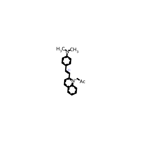 CC(=O)C[n+]1c(/C=C/c2ccc(N(C)C)cc2)ccc2ccccc21